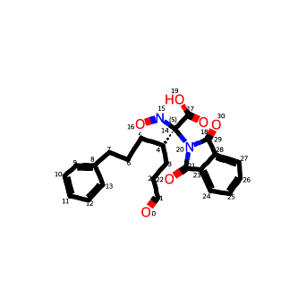 O=CCCC(CCCc1ccccc1)[C@](N=O)(C(=O)O)N1C(=O)c2ccccc2C1=O